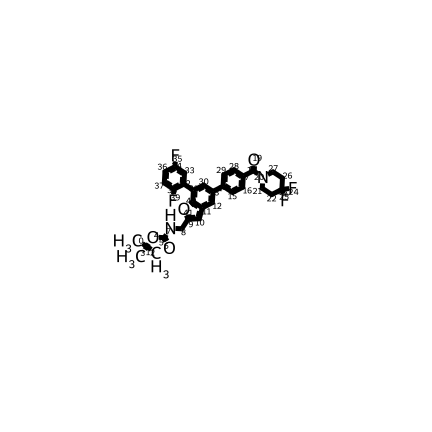 CC(C)(C)OC(=O)NCc1cc2cc(-c3ccc(C(=O)N4CCC(F)(F)CC4)cc3)cc(-c3cc(F)ccc3F)c2o1